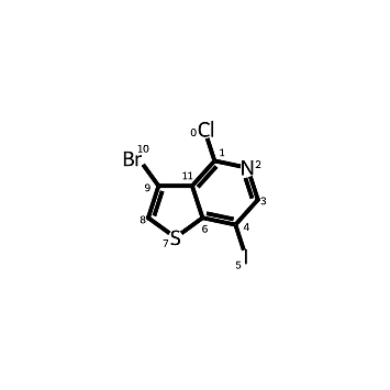 Clc1ncc(I)c2scc(Br)c12